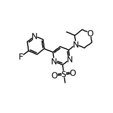 CC1COCCN1c1cc(-c2cncc(F)c2)nc(S(C)(=O)=O)n1